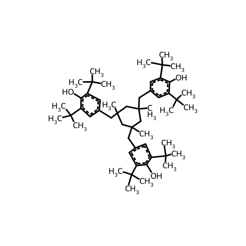 CC1(Cc2cc(C(C)(C)C)c(O)c(C(C)(C)C)c2)CC(C)(Cc2cc(C(C)(C)C)c(O)c(C(C)(C)C)c2)CC(C)(Cc2cc(C(C)(C)C)c(O)c(C(C)(C)C)c2)C1